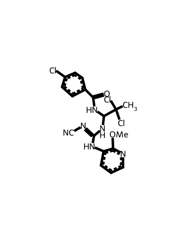 COc1ncccc1N/C(=N\C#N)NC(NC(=O)c1ccc(Cl)cc1)C(C)(Cl)Cl